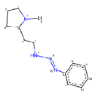 CCN1CCCC1CCN/N=N/c1ccccc1